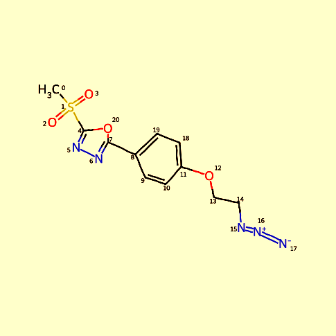 CS(=O)(=O)c1nnc(-c2ccc(OCCN=[N+]=[N-])cc2)o1